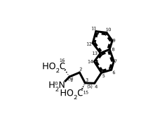 N[C@@H](C[C@H](Cc1ccc2ccccc2c1)C(=O)O)C(=O)O